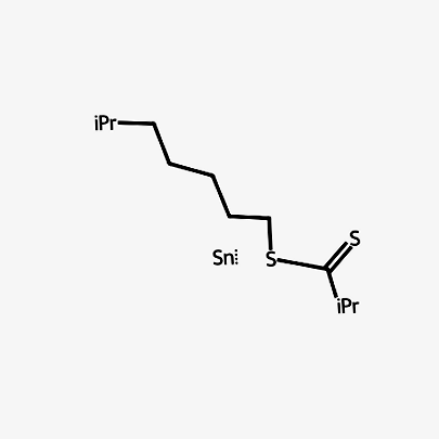 CC(C)CCCCCSC(=S)C(C)C.[Sn]